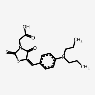 CCCN(CCC)c1ccc(C=C2SC(=S)N(CC(=O)O)C2=O)cc1